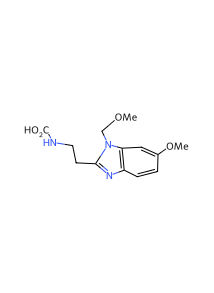 COCn1c(CCNC(=O)O)nc2ccc(OC)cc21